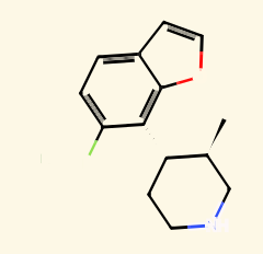 C[C@H]1CNCC[C@@H]1c1c(F)ccc2ccoc12.Cl